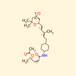 CC(=O)O[C@@H](C)/C=C\C(=O)NC1CCC(C/C=C(C)/C=C/C2C[C@]3(CO3)CC(C)(C)O2)CC1